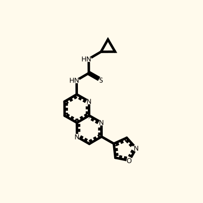 S=C(Nc1ccc2ncc(-c3cnoc3)nc2n1)NC1CC1